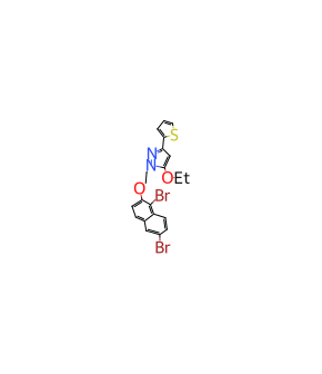 CCOc1cc(-c2cccs2)nn1CCOc1ccc2cc(Br)ccc2c1Br